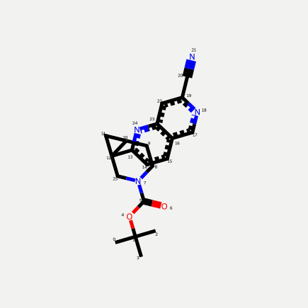 CC(C)(C)OC(=O)N1CCC2CC2(c2ccc3cnc(C#N)cc3n2)C1